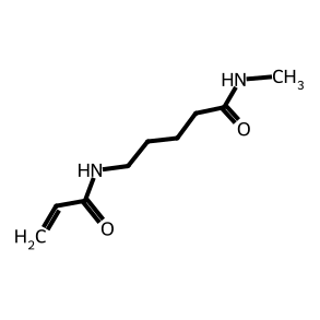 C=CC(=O)NCCCCC(=O)NC